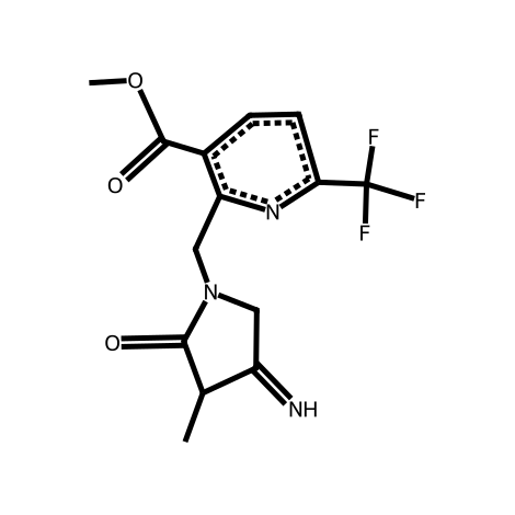 COC(=O)c1ccc(C(F)(F)F)nc1CN1CC(=N)C(C)C1=O